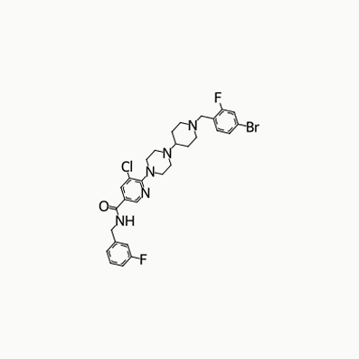 O=C(NCc1cccc(F)c1)c1cnc(N2CCN(C3CCN(Cc4ccc(Br)cc4F)CC3)CC2)c(Cl)c1